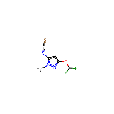 Cn1nc(OC(F)F)cc1N=C=S